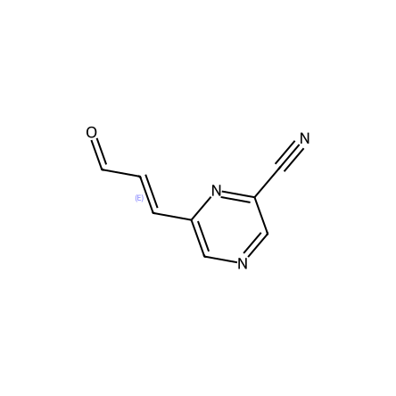 N#Cc1cncc(/C=C/C=O)n1